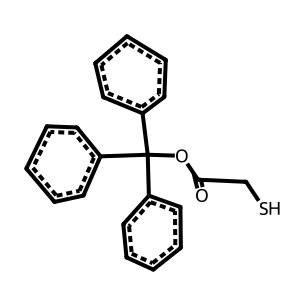 O=C(CS)OC(c1ccccc1)(c1ccccc1)c1ccccc1